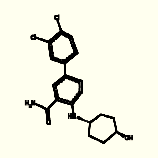 NC(=O)c1cc(-c2ccc(Cl)c(Cl)c2)ccc1N[C@H]1CC[C@H](O)CC1